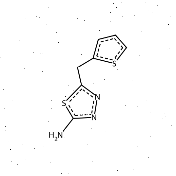 Nc1nnc(Cc2cccs2)s1